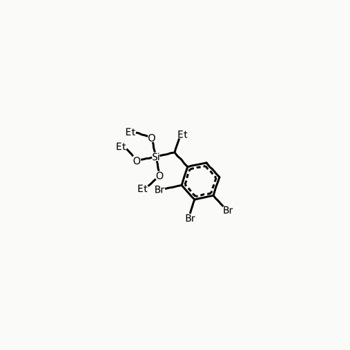 CCO[Si](OCC)(OCC)C(CC)c1ccc(Br)c(Br)c1Br